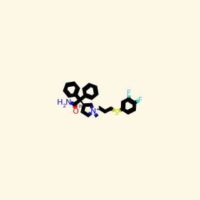 C[N+]1(CCCSc2ccc(F)c(F)c2)CC[C@@H](C(C(N)=O)(c2ccccc2)c2ccccc2)C1